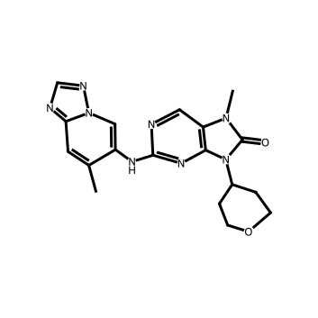 Cc1cc2ncnn2cc1Nc1ncc2c(n1)n(C1CCOCC1)c(=O)n2C